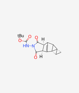 CC(C)(C)OC(=O)NN1C(=O)[C@@H]2C3C=CC(C4[C@@]56CC5[C@]346)[C@@H]2C1=O